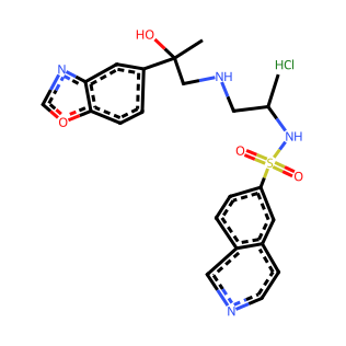 CC(CNCC(C)(O)c1ccc2ocnc2c1)NS(=O)(=O)c1ccc2cnccc2c1.Cl